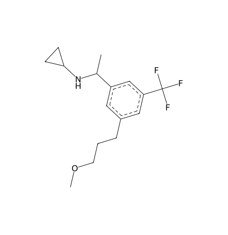 COCCCc1cc(C(C)NC2CC2)cc(C(F)(F)F)c1